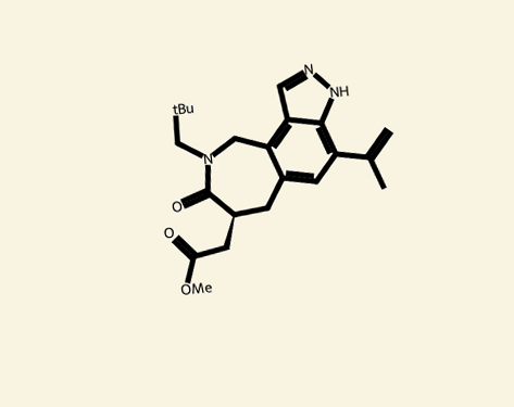 C=C(C)c1cc2c(c3cn[nH]c13)CN(CC(C)(C)C)C(=O)[C@H](CC(=O)OC)C2